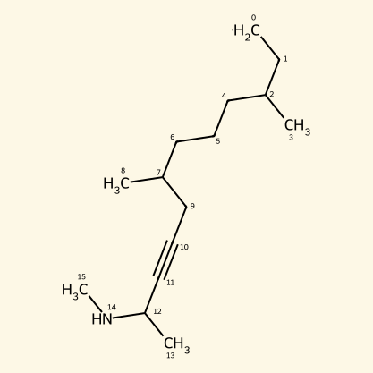 [CH2]CC(C)CCCC(C)CC#CC(C)NC